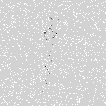 COCCCCCCn1cc([N+](=O)[O-])cn1